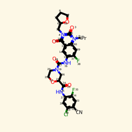 CC(C)n1c(=O)n(CC2CCCO2)c(=O)c2cc(NC(=O)N3CCOC(C(=O)Nc4cc(Cl)c(C#N)cc4F)C3)c(F)cc21